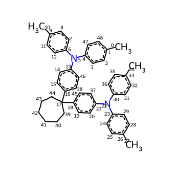 Cc1ccc(N(c2ccc(C)cc2)c2ccc(C3(c4ccc(N(c5ccc(C)cc5)c5ccc(C)cc5)cc4)CCCCCC3)cc2)cc1